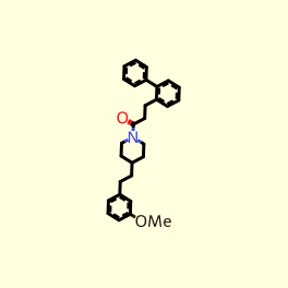 COc1cccc(CCC2CCN(C(=O)CCc3ccccc3-c3ccccc3)CC2)c1